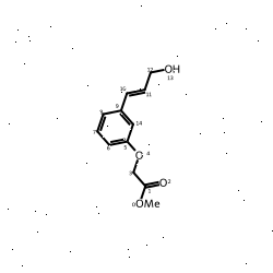 COC(=O)COc1cccc(/C=C/CO)c1